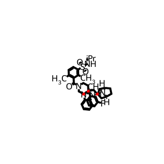 Cc1ccc(S(=O)(=O)NC(C)C)c(C)c1C(=O)N1CCC(CCN2[C@@H]3CC[C@H]2C[C@@H](n2c(C)nc4ccccc42)C3)(c2cccc(F)c2)CC1